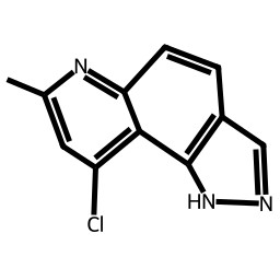 Cc1cc(Cl)c2c(ccc3cn[nH]c32)n1